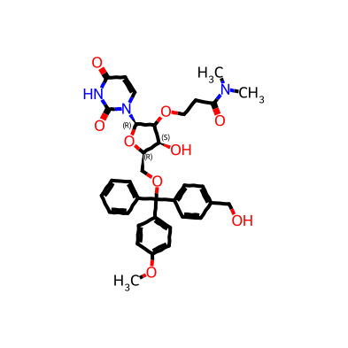 COc1ccc(C(OC[C@H]2O[C@@H](n3ccc(=O)[nH]c3=O)C(OCCC(=O)N(C)C)[C@H]2O)(c2ccccc2)c2ccc(CO)cc2)cc1